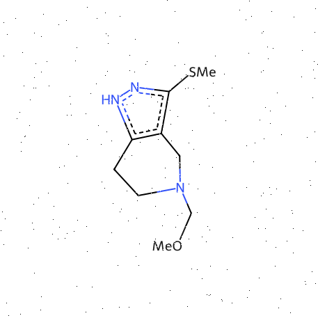 COCN1CCc2[nH]nc(SC)c2C1